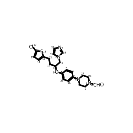 O=CN1CCN(c2ccc(OC(CCc3ccc(Cl)s3)Cn3ccnc3)cc2)CC1